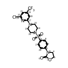 O=C1OCCN1c1ccc(S(=O)(=O)N2CCN(c3cc(C(F)(F)F)cc(Cl)n3)CC2)cc1